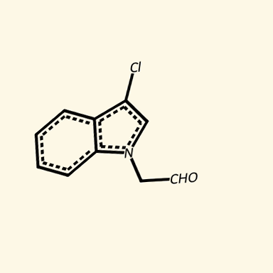 O=CCn1cc(Cl)c2ccccc21